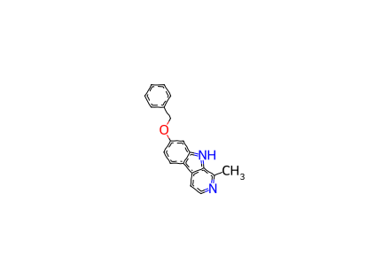 Cc1nccc2c1[nH]c1cc(OCc3ccccc3)ccc12